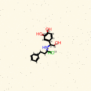 CC(CCc1ccccc1)NC(CO)c1ccc(O)c(O)c1.Cl